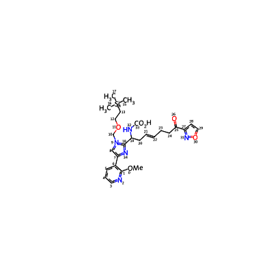 COc1ncccc1-c1cn(COCC[Si](C)(C)C)c(C(C/C=C/CCC(=O)c2ccon2)NC(=O)O)n1